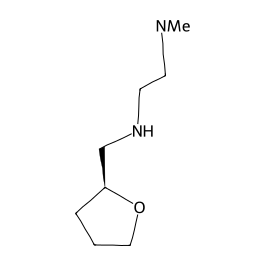 [CH2-][NH2+]CCNC[C@@H]1CCCO1